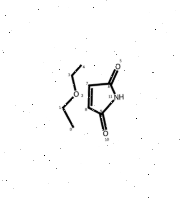 CCOCC.O=C1C=CC(=O)N1